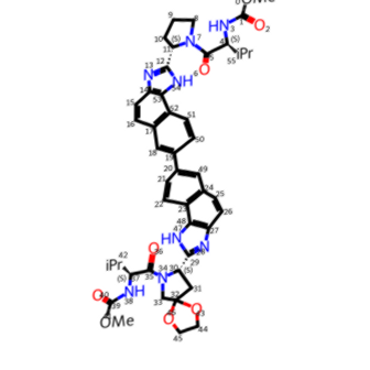 COC(=O)N[C@H](C(=O)N1CCC[C@H]1c1nc2ccc3cc(-c4ccc5c(ccc6nc([C@@H]7CC8(CN7C(=O)[C@@H](NC(=O)OC)C(C)C)OCCO8)[nH]c65)c4)ccc3c2[nH]1)C(C)C